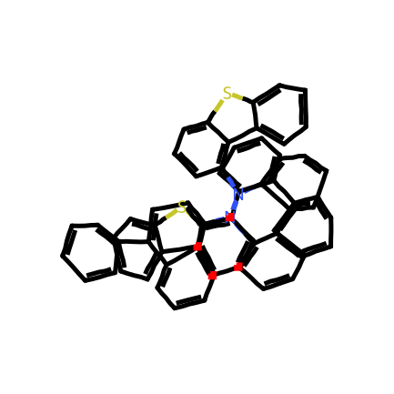 c1ccc(-c2ccccc2N(c2ccccc2-c2ccccc2N(c2cccc3c2sc2ccccc23)c2cccc3sc4ccccc4c23)c2ccc(-c3ccccc3)c3ccccc23)cc1